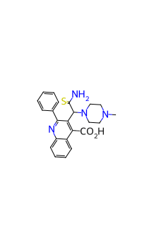 CN1CCN(C(C(N)=S)c2c(-c3ccccc3)nc3ccccc3c2C(=O)O)CC1